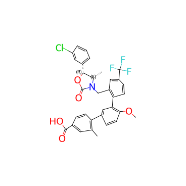 COc1ccc(-c2ccc(C(=O)O)cc2C)cc1-c1ccc(C(F)(F)F)cc1CN1C(=O)O[C@H](c2cccc(Cl)c2)[C@@H]1C